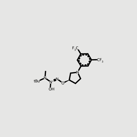 CN(/[N+](O)=N/O[C@@H]1CCN(c2cc(C(F)(F)F)cc(C(F)(F)F)c2)C1)C(C)(C)C